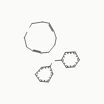 C1=C\CC[C@H](P(c2ccccc2)c2ccccc2)/C=C\CCCCC/1